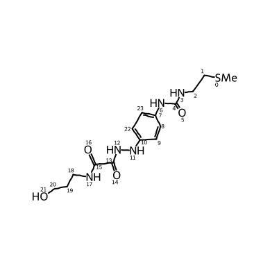 CSCCNC(=O)Nc1ccc(NNC(=O)C(=O)NCCCO)cc1